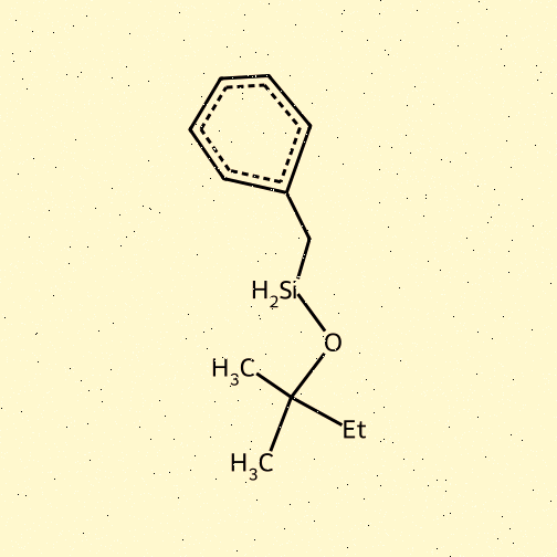 CCC(C)(C)O[SiH2]Cc1ccccc1